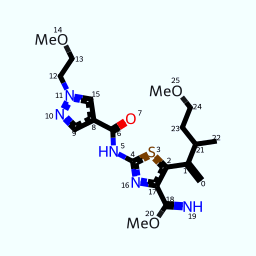 C=C(c1sc(NC(=O)c2cnn(CCOC)c2)nc1C(=N)OC)C(C)CCOC